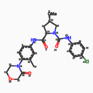 CO[C@@H]1C[C@H](C(=O)Nc2ccc(N3CCOCC3=O)c(C)c2)N(C(=O)Nc2ccc(Cl)cc2)C1